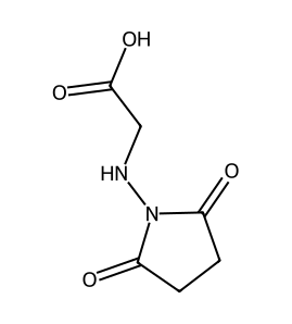 O=C(O)CNN1C(=O)CCC1=O